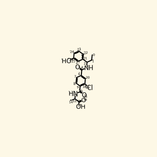 CCC(NC(=O)c1ccc(C(=O)NC(C)C(=O)O)c(Cl)c1)c1cccc(O)c1